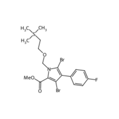 COC(=O)c1c(Br)c(-c2ccc(F)cc2)c(Br)n1COCCS(C)(C)C